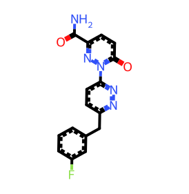 NC(=O)c1ccc(=O)n(-c2ccc(Cc3cccc(F)c3)nn2)n1